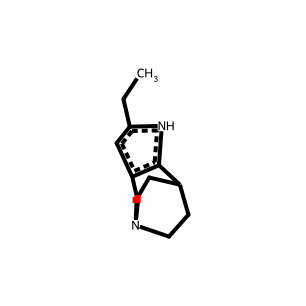 CCc1cc2c([nH]1)C1CCN(CC1)C2